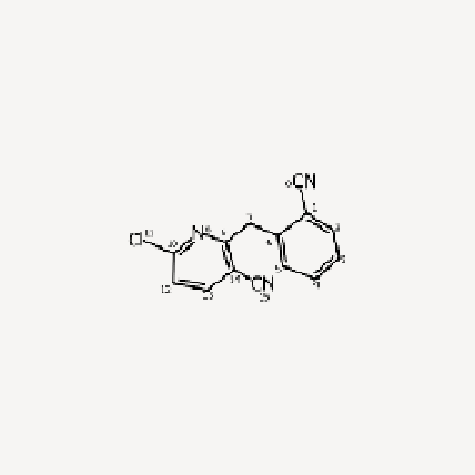 N#Cc1ccccc1Cc1nc(Cl)ccc1C#N